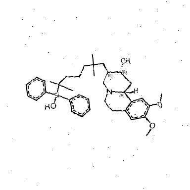 COc1cc2c(cc1OC)[C@H]1C[C@@H](O)[C@H](CC(C)(C)CCCC(C)(C)[Si](O)(c3ccccc3)c3ccccc3)CN1CC2